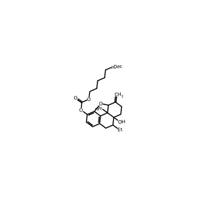 C=C1CCC2(O)C(CC)Cc3ccc(OC(=O)OCCCCCCCCCCCCCCC)c4c3C2(CCC)C1O4